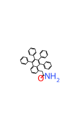 NC(=O)Cc1cccc2c(-c3ccccc3)c(-c3ccccc3)c(-c3ccccc3)c(-c3ccccc3)c12